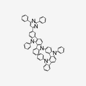 c1ccc(-c2cc(-c3ccc4c(c3)c3ccc5c(c6ccccc6n5-c5ccc6c(c5)c5c(ccc7c8ccccc8n(-c8ccccc8)c75)n6-c5ccccc5)c3n4-c3ccccc3)nc(-c3ccccc3)n2)cc1